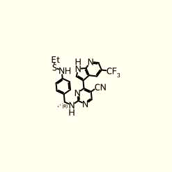 CCSNc1ccc([C@@H](C)Nc2ncc(C#N)c(-c3c[nH]c4ncc(C(F)(F)F)cc34)n2)cc1